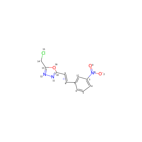 O=[N+]([O-])c1cccc(/C=C/c2nnc(CCl)o2)c1